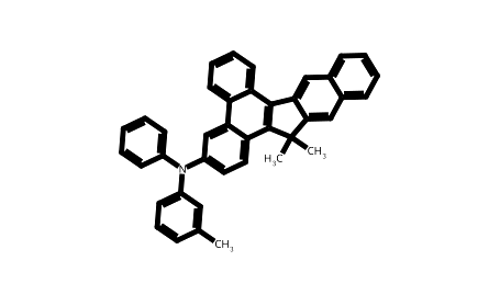 Cc1cccc(N(c2ccccc2)c2ccc3c4c(c5ccccc5c3c2)-c2cc3ccccc3cc2C4(C)C)c1